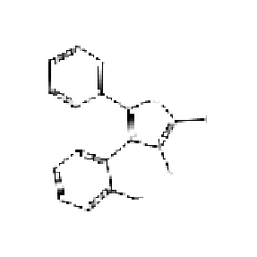 CCc1ccccc1-c1c(-c2ccccc2)oc(I)c1C